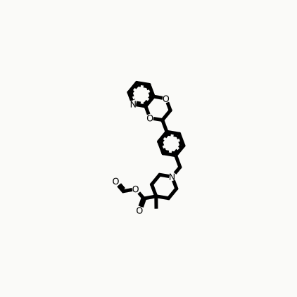 CC1(C(=O)OC=O)CCN(Cc2ccc(C3COc4cccnc4O3)cc2)CC1